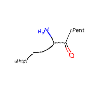 CCCCCCCCCC(N)C(=O)CCCCC